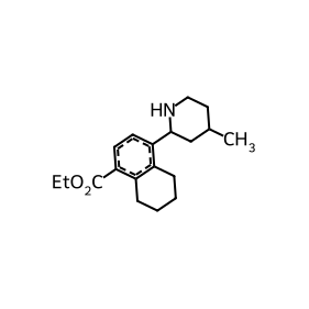 CCOC(=O)c1ccc(C2CC(C)CCN2)c2c1CCCC2